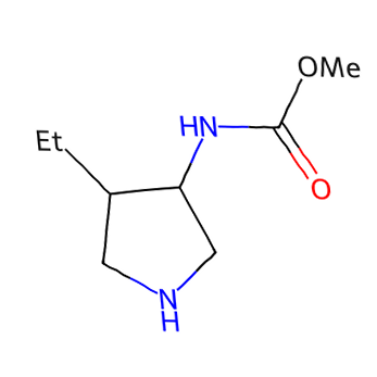 CCC1CNCC1NC(=O)OC